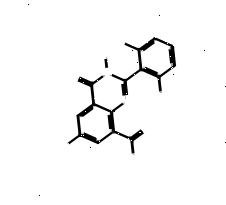 CC(=O)c1cc(C)cc2c(=O)n(C)c(-c3c(F)cccc3F)nc12